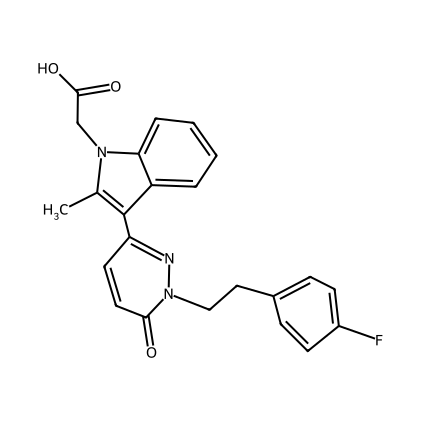 Cc1c(-c2ccc(=O)n(CCc3ccc(F)cc3)n2)c2ccccc2n1CC(=O)O